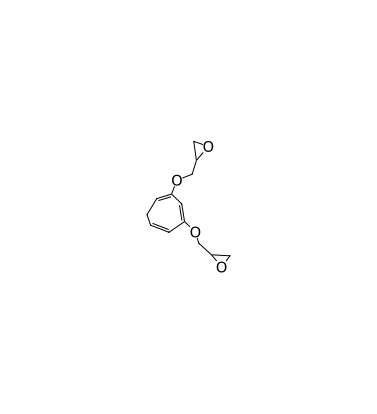 C1=CC(OCC2CO2)=CC(OCC2CO2)=CC1